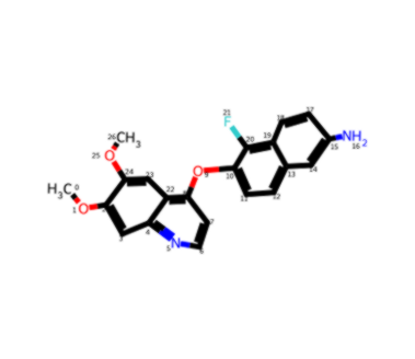 COc1cc2nccc(Oc3ccc4cc(N)ccc4c3F)c2cc1OC